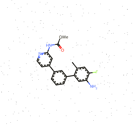 COC(=O)Nc1cc(-c2cccc(-c3cc(N)c(F)cc3C)c2)ccn1